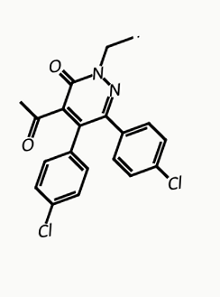 [CH2]Cn1nc(-c2ccc(Cl)cc2)c(-c2ccc(Cl)cc2)c(C(C)=O)c1=O